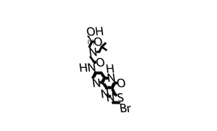 CC1(C)CN(CC(=O)Nc2cnc3c(c2)[nH]c(=O)c2c3nn3cc(Br)sc23)C[C@@H](CO)O1